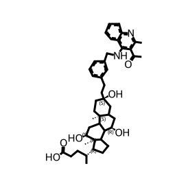 CC(=O)c1c(C)nc2ccccc2c1NCc1cccc(CC[C@@]2(O)CC[C@@]3(C)C(C[C@@H](O)C4C3C[C@H](O)[C@@]3(C)C4CC[C@@H]3C(C)CCC(=O)O)C2)c1